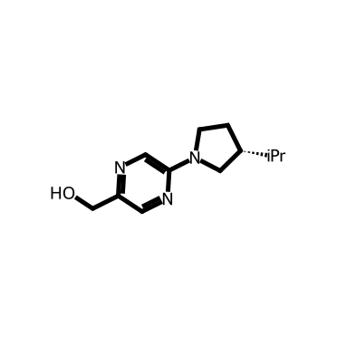 CC(C)[C@H]1CCN(c2cnc(CO)cn2)C1